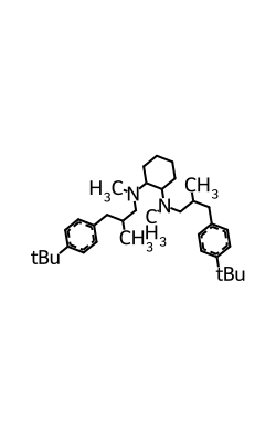 CC(Cc1ccc(C(C)(C)C)cc1)CN(C)C1CCCCC1N(C)CC(C)Cc1ccc(C(C)(C)C)cc1